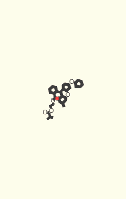 C=C(C)C(=O)OCCOC(=O)c1ccccc1C1=c2ccc(=C)cc2Oc2cc(Oc3ccccc3)ccc21